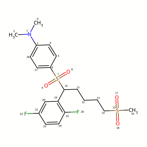 CN(C)c1ccc(S(=O)(=O)C(CCCCS(C)(=O)=O)c2cc(F)ccc2F)cc1